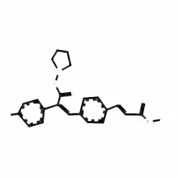 O=C(C=Cc1ccc(C=C(C(=O)NN2CCCC2)c2ccc(F)cc2)cc1)NO